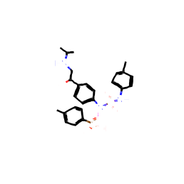 Cc1ccc(NS(=O)(=O)Nc2ccc(C(O)CNC(C)C)cc2)cc1.Cc1ccc(S(=O)(=O)O)cc1